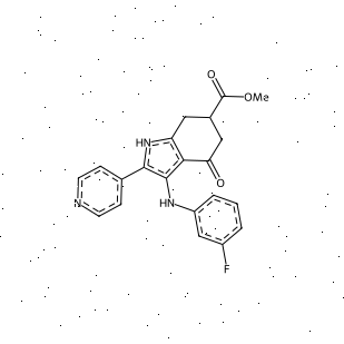 COC(=O)C1CC(=O)c2c([nH]c(-c3ccncc3)c2Nc2cccc(F)c2)C1